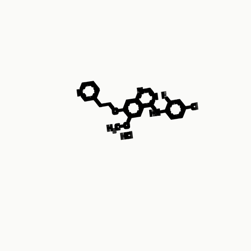 COc1cc2c(Nc3ccc(Cl)cc3F)ncnc2cc1OCCc1cccnc1.Cl